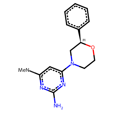 CNc1cc(N2CCO[C@H](c3ccccc3)C2)nc(N)n1